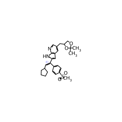 CC1(C)OCC(Cc2cnc3[nH]c(/C(=C/C4CCCC4)c4ccc(S(C)(=O)=O)cc4)cc3c2)O1